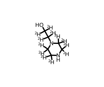 [2H]C([2H])(O)C([2H])([2H])N1C([2H])([2H])C([2H])([2H])NC([2H])([2H])C1([2H])[2H]